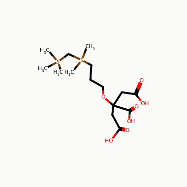 CS(C)(C)CS(C)(C)CCCOC(CC(=O)O)(CC(=O)O)C(=O)O